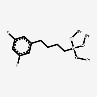 CC(C)O[Si](CCCCc1cc(F)cc(F)c1)(OC(C)C)OC(C)C